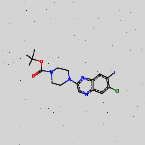 CC(C)(C)OC(=O)N1CCN(c2cnc3cc(Cl)c(I)cc3n2)CC1